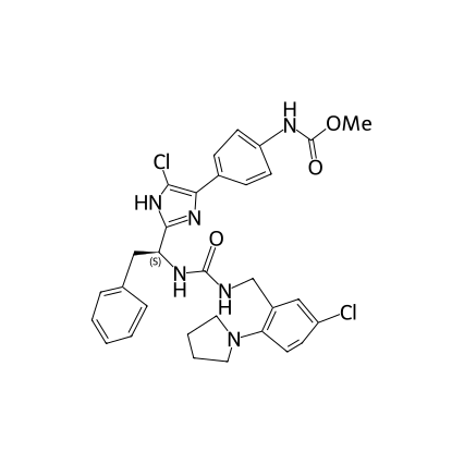 COC(=O)Nc1ccc(-c2nc([C@H](Cc3ccccc3)NC(=O)NCc3cc(Cl)ccc3N3CCCC3)[nH]c2Cl)cc1